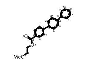 COCCOC(=O)c1ccc(-c2ccc(-c3ccccc3)cc2)cc1